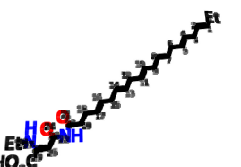 CCC=CCC=CCC=CCC=CCC=CCC=CCCC(=O)NC(=O)C=C(NCC)C(=O)O